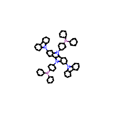 c1ccc(P(c2ccccc2)c2ccc(-n3c4cc(-n5c6ccccc6c6ccccc65)ccc4c4c3c3ccc(-n5c6ccccc6c6ccccc65)cc3n4-c3ccc(P(c4ccccc4)c4ccccc4)cc3)cc2)cc1